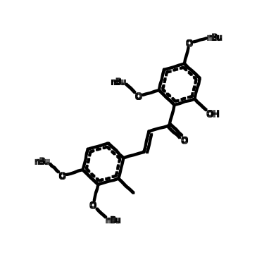 CCCCOc1cc(O)c(C(=O)/C=C/c2ccc(OCCCC)c(OCCCC)c2C)c(OCCCC)c1